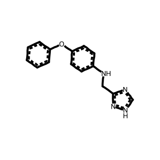 c1ccc(Oc2ccc(NCc3nc[nH]n3)cc2)cc1